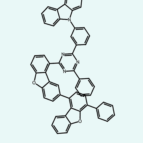 c1ccc(-c2nc(-c3cccc(-n4c5ccccc5c5ccccc54)c3)nc(-c3cccc4oc5ccc(-c6ccc(-c7ccccc7)c7oc8ccccc8c67)cc5c34)n2)cc1